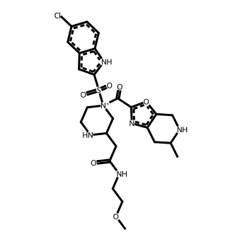 COCCNC(=O)CC1C[N+](C(=O)c2nc3c(o2)CNC(C)C3)(S(=O)(=O)c2cc3cc(Cl)ccc3[nH]2)CCN1